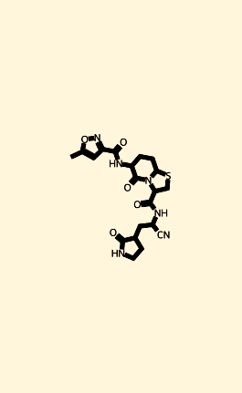 Cc1cc(C(=O)NC2CCC3SCC(C(=O)NC(C#N)CC4CCNC4=O)N3C2=O)no1